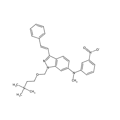 CN(c1cccc([N+](=O)[O-])c1)c1ccc2c(/C=C/c3ccccc3)nn(COCC[Si](C)(C)C)c2c1